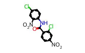 O=C(Nc1ccc(Cl)cc1[N+](=O)[O-])c1ccc([N+](=O)[O-])cc1Cl